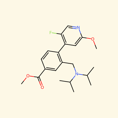 COC(=O)c1ccc(-c2cc(OC)ncc2F)c(CN(C(C)C)C(C)C)c1